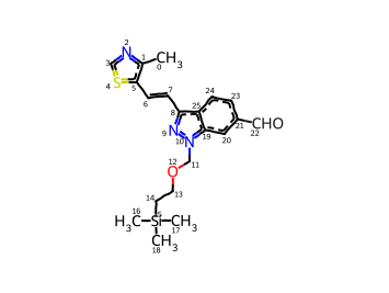 Cc1ncsc1/C=C/c1nn(COCC[Si](C)(C)C)c2cc(C=O)ccc12